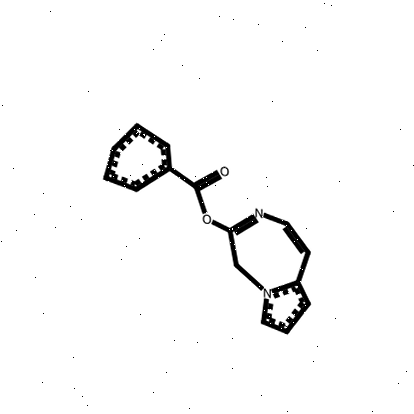 O=C(OC1=NC=Cc2cccn2C1)c1ccccc1